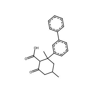 CC1CC(=O)C(C(=O)O)C(C)(c2cccc(-c3ccccc3)c2)C1